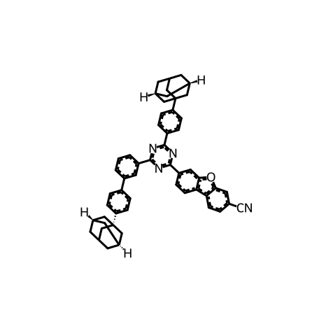 N#Cc1ccc2c(c1)oc1cc(-c3nc(-c4ccc(C56CC7C[C@H](C5)C[C@@H](C7)C6)cc4)nc(-c4cccc(-c5ccc([C@]67CC8C[C@@H](C[C@H](C8)C6)C7)cc5)c4)n3)ccc12